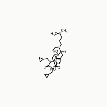 CN(C)CCCN1CC[C@]23C[C@@]4(CC[C@@]2(O)[C@H]1Cc1ccc(O)cc13)C(=O)N(CC1CC1)C(=O)N4CC1CC1